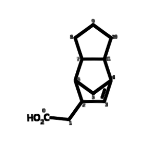 O=C(O)CC1C=C2CC1C1CCCC21